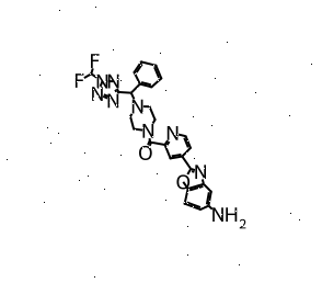 Nc1ccc2oc(-c3ccnc(C(=O)N4CCN(C(c5ccccc5)c5nnn(C(F)F)n5)CC4)c3)nc2c1